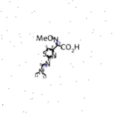 CO/N=C(/C(=O)O)c1csc(/N=C/N(C)C)n1